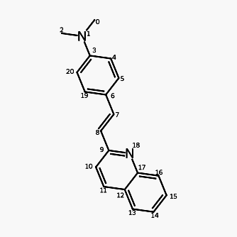 CN(C)c1ccc(C=Cc2ccc3ccccc3n2)cc1